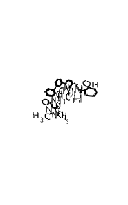 COc1nc(-c2cccc(-c3cccc(NC(=O)c4nc(C)nn(C)c4=O)c3Cl)c2Cl)ccc1CNC1CCCCC1O